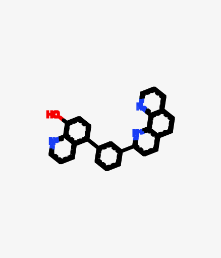 Oc1ccc(-c2cccc(-c3ccc4ccc5cccnc5c4n3)c2)c2cccnc12